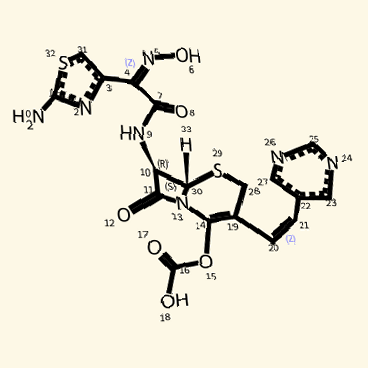 Nc1nc(/C(=N/O)C(=O)N[C@@H]2C(=O)N3C(OC(=O)O)=C(/C=C\c4cncnc4)CS[C@@H]23)cs1